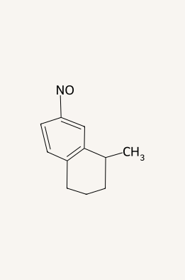 CC1CCCc2ccc(N=O)cc21